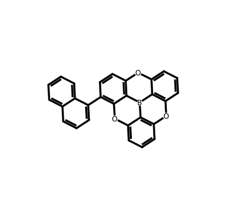 c1cc2c3c(c1)Oc1ccc(-c4cccc5ccccc45)c4c1B3c1c(cccc1O4)O2